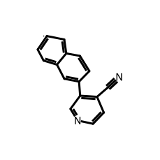 N#Cc1ccncc1-c1ccc2c[c]ccc2c1